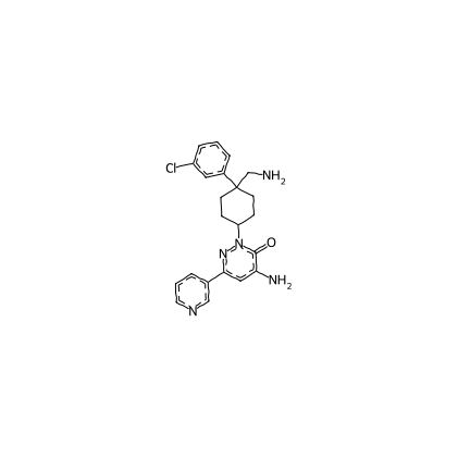 NCC1(c2cccc(Cl)c2)CCC(n2nc(-c3cccnc3)cc(N)c2=O)CC1